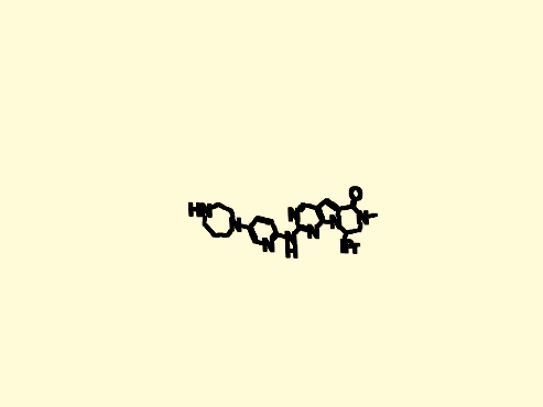 CC(C)C1CN(C)C(=O)c2cc3cnc(Nc4ccc(N5CCCNCC5)cn4)nc3n21